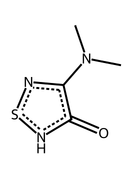 CN(C)c1ns[nH]c1=O